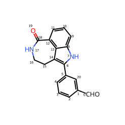 O=Cc1cccc(-c2[nH]c3cccc4c3c2CCNC4=O)c1